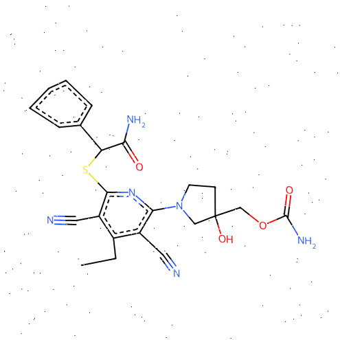 CCc1c(C#N)c(SC(C(N)=O)c2ccccc2)nc(N2CCC(O)(COC(N)=O)C2)c1C#N